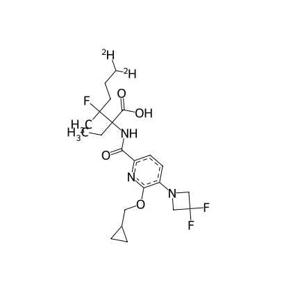 [2H]C([2H])CCC(C)(F)C(CC)(NC(=O)c1ccc(N2CC(F)(F)C2)c(OCC2CC2)n1)C(=O)O